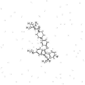 COc1ccc2c(Oc3ccc(N4CCN(C(=O)OC(C)(C)C)CC4)cc3)c(-c3ccc(F)cc3C(C)(F)F)sc2c1